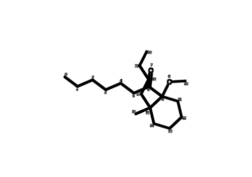 CCCCCCC(=O)C1(OC)CCCCC1(C)CCCC